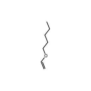 C=COCCCCC